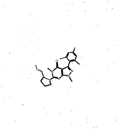 COCC1CCCN1c1nc2c(c(-c3c(C)cc(C)cc3C)nn2C)c(=O)n1C